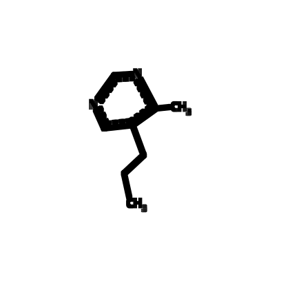 CCCc1cncnc1C